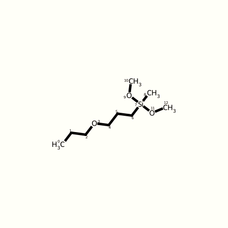 CCCOCCC[Si](C)(OC)OC